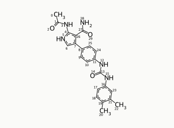 CC(=O)Nc1[nH]cc(-c2ccc(NC(=O)Nc3ccc(C)c(C)c3)cc2)c1C(N)=O